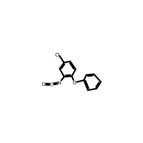 O=C=Nc1cc(Cl)ccc1Oc1ccccc1